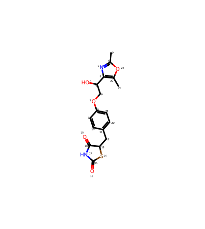 Cc1nc(C(O)COc2ccc(CC3SC(=O)NC3=O)cc2)c(C)o1